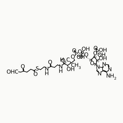 CC(C)(COP(=O)(O)OP(=O)(O)OC[C@H]1O[C@@H](n2cnc3c(N)ncnc32)[C@H](O)[C@@H]1OP(=O)(O)O)C(O)C(=O)NCCC(=O)NCCSC(=O)CCC(=O)CC=O